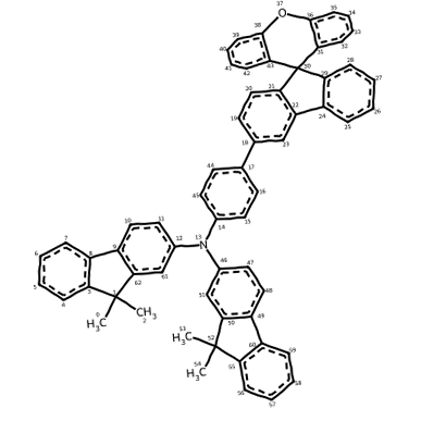 CC1(C)c2ccccc2-c2ccc(N(c3ccc(-c4ccc5c(c4)-c4ccccc4C54c5ccccc5Oc5ccccc54)cc3)c3ccc4c(c3)C(C)(C)c3ccccc3-4)cc21